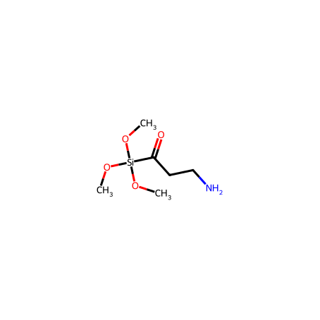 CO[Si](OC)(OC)C(=O)CCN